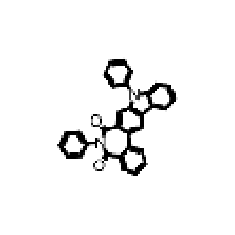 O=c1c2ccccc2c2cc3c4ccccc4n(-c4ccccc4)c3cc2c(=O)n1-c1ccccc1